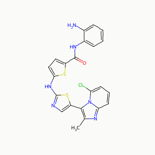 Cc1nc2cccc(Cl)n2c1-c1cnc(Nc2ccc(C(=O)Nc3ccccc3N)s2)s1